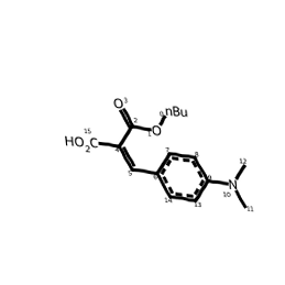 CCCCOC(=O)C(=Cc1ccc(N(C)C)cc1)C(=O)O